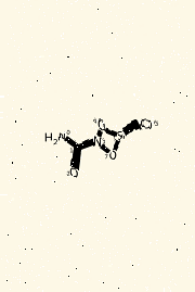 NC(=O)n1o[si](=O)o1